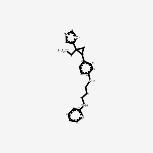 O=C(O)CC1(c2cnco2)CC1c1ccc(OCCCNc2ccccn2)cc1